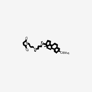 COc1ccc2c(c1)CCC1C2CC[C@@]2(C)C1CCC2N(C)CCCN(C)CCCN1C(=O)C=CC1=O